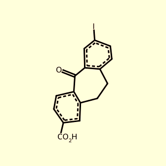 O=C(O)c1ccc2c(c1)CCc1ccc(I)cc1C2=O